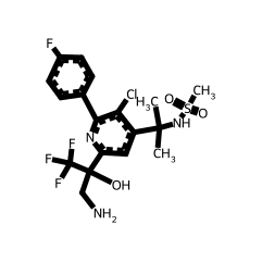 CC(C)(NS(C)(=O)=O)c1cc(C(O)(CN)C(F)(F)F)nc(-c2ccc(F)cc2)c1Cl